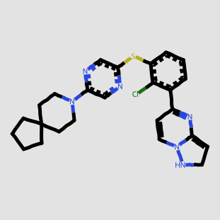 Clc1c(Sc2cnc(N3CCC4(CCCC4)CC3)cn2)cccc1C1=NC2=CCNN2C=C1